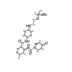 Cc1ccc(C(=O)Nc2ccc(NCCO[Si](C)(C)C(C)(C)C)cc2)c(NC(=O)c2ccc(Cl)cn2)c1